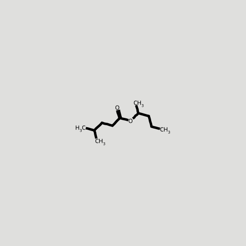 CCCC(C)OC(=O)CCC(C)C